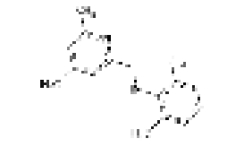 Cc1cc(C)nc(CNc2c(C)cccc2C)c1